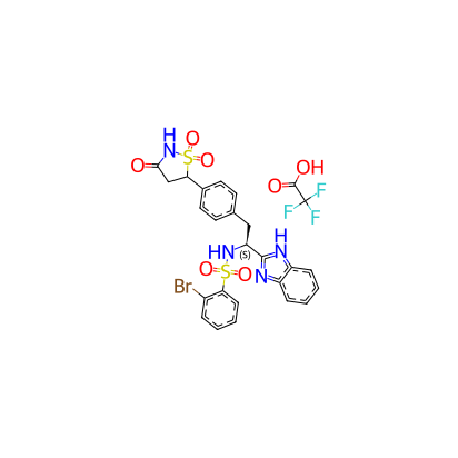 O=C(O)C(F)(F)F.O=C1CC(c2ccc(C[C@H](NS(=O)(=O)c3ccccc3Br)c3nc4ccccc4[nH]3)cc2)S(=O)(=O)N1